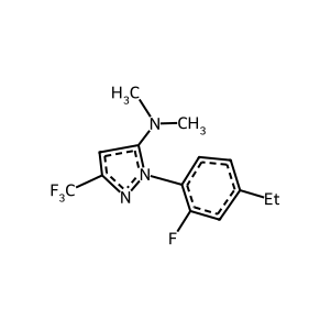 CCc1ccc(-n2nc(C(F)(F)F)cc2N(C)C)c(F)c1